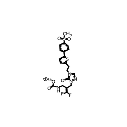 CC(C)(C)OC(=O)NCC(Cn1ncn(CCc2ccc(-c3ccc(S(C)(=O)=O)cc3)s2)c1=O)=C(F)F